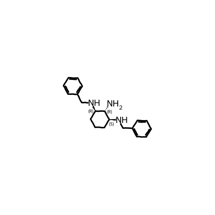 N[C@@H]1[C@@H](NCc2ccccc2)CCC[C@H]1NCc1ccccc1